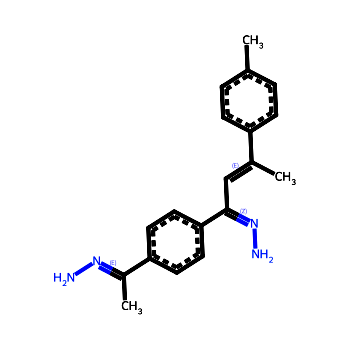 C/C(=C\C(=N\N)c1ccc(/C(C)=N/N)cc1)c1ccc(C)cc1